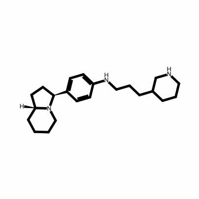 c1cc([C@@H]2CC[C@H]3CCCCN32)ccc1NCCCC1CCCNC1